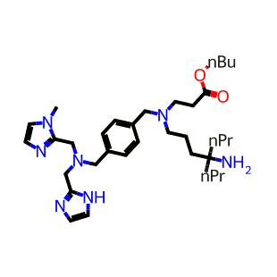 CCCCOC(=O)CCN(CCCC(N)(CCC)CCC)Cc1ccc(CN(Cc2ncc[nH]2)Cc2nccn2C)cc1